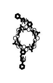 CC(C)C[C@H]1C(=O)O[C@H](Cc2cccc(Cn3cc(-c4ccccc4)cn3)c2)C(=O)N(C)[C@@H](CC(C)C)C(=O)O[C@H](C)C(=O)N(C)[C@@H](CC(C)C)C(=O)O[C@H](Cc2ccc(Cn3cc(-c4ccccc4)cn3)cc2)C(=O)N(C)[C@@H](CC(C)C)C(=O)O[C@H](C)C(=O)N1C